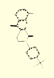 O=C1c2oc3c(Cl)cccc3c(=O)c2CCN1c1ccc(C(F)(F)F)cc1